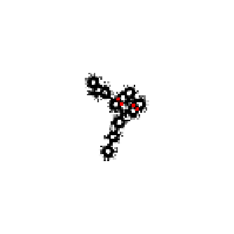 CC1C=C(c2ccc(-c3ccccc3)cc2)C=CC1N(c1ccc(-c2ccc3c(c2)C(C)(C)c2ccccc2-3)cc1)c1ccccc1C1C=CC=C2C=CC=C(c3ccccc3)C21C